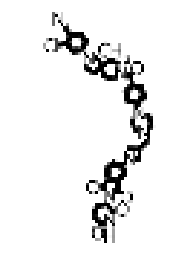 CC1N(c2ccc(C#N)c(Cl)c2)CCC12CCN(C(=O)c1ccc(N3CCN(CC4CN(c5ccc6c(c5)C(=O)N(C5CCC(=O)NC5=O)C6=O)C4)CC3)cc1)CC2